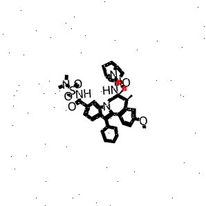 COc1ccc2c(c1)[C@H](C)[C@@](C)(NC(=O)N1C3CCC1CN(C)C3)Cn1c-2c(C2CCCCC2)c2ccc(C(=O)NS(=O)(=O)N(C)C)cc21